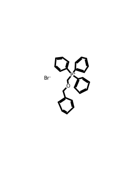 [Br-].c1ccc(COC[P+](c2ccccc2)(c2ccccc2)c2ccccc2)cc1